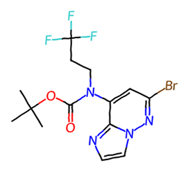 CC(C)(C)OC(=O)N(CCC(F)(F)F)c1cc(Br)nn2ccnc12